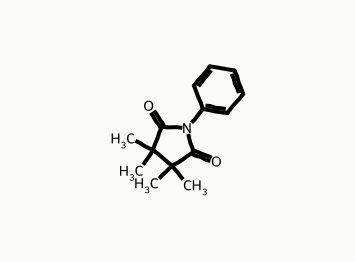 CC1(C)C(=O)N(c2ccccc2)C(=O)C1(C)C